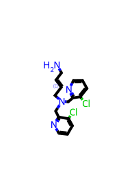 NC/C=C/CN(Cc1ncccc1Cl)Cc1ncccc1Cl